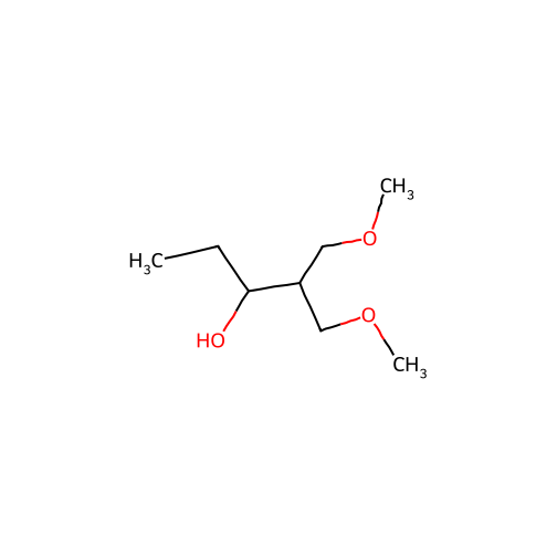 CCC(O)C(COC)COC